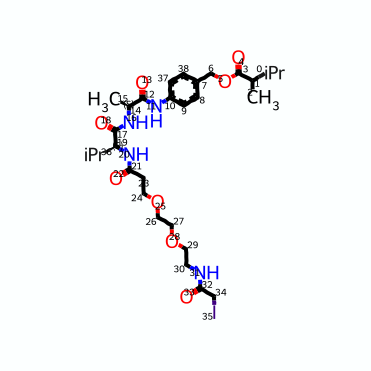 CC(C)C(C)C(=O)OCc1ccc(NC(=O)[C@H](C)NC(=O)[C@@H](NC(=O)CCOCCOCCNC(=O)CI)C(C)C)cc1